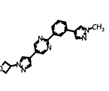 Cn1cc(-c2cccc(-c3ncc(-c4cnn(C5COC5)c4)cn3)c2)cn1